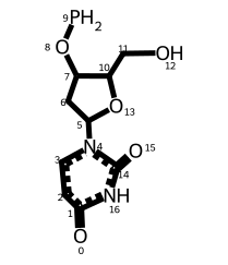 O=c1ccn(C2CC(OP)C(CO)O2)c(=O)[nH]1